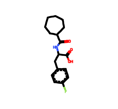 O=C(NC(Cc1ccc(F)cc1)C(=O)O)C1CCCCCC1